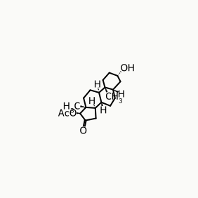 CC(=O)O[C@@H]1C(=O)C[C@@H]2[C@H]3CC[C@H]4C[C@@H](O)CC[C@@]4(C)[C@@H]3CC[C@@]12C